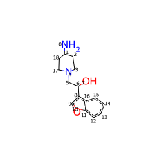 NC1CCN(CC(O)c2coc3ccccc23)CC1